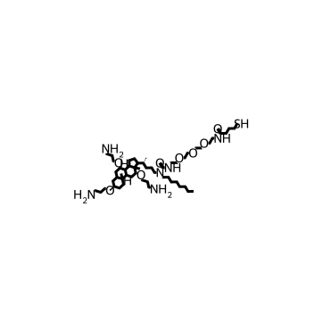 CCCCCCCCN(CCC[C@@H](C)C1CC[C@H]2C3[C@H](OCCCN)CC4C[C@H](OCCCN)CCC4(C)[C@H]3C[C@H](OCCCN)C12C)C(=O)NCCOCCOCCOCCNC(=O)CCCS